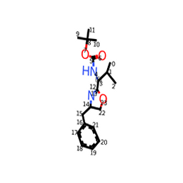 CC(C)[C@H](NC(=O)OC(C)(C)C)C1=NC(Cc2ccccc2)CO1